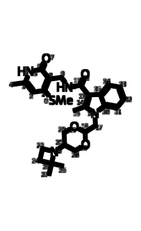 CSc1cc(C)[nH]c(=O)c1CNC(=O)c1c(C)n(CC2OCC(N3CCC3(C)C)CO2)c2ccccc12